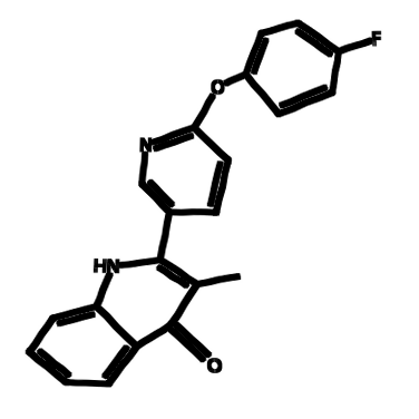 Cc1c(-c2ccc(Oc3ccc(F)cc3)nc2)[nH]c2ccccc2c1=O